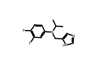 CC(C)N(Cc1cnc[nH]1)c1ccc(F)c(F)c1